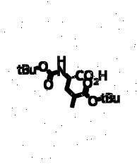 CC(C[C@H](NC(=O)OC(C)(C)C)C(=O)O)C(=O)OC(C)(C)C